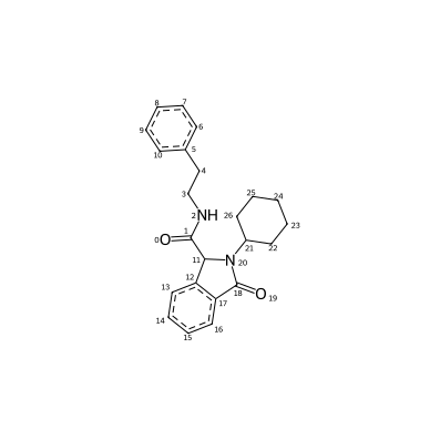 O=C(NCCc1ccccc1)C1c2ccccc2C(=O)N1C1CCCCC1